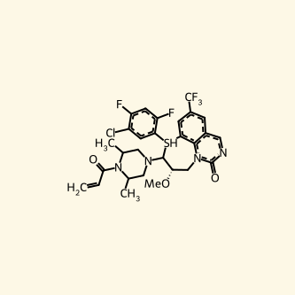 C=CC(=O)N1C(C)CN(C2[C@@H](OC)Cn3c(=O)ncc4cc(C(F)(F)F)cc(c43)[SH]2c2cc(Cl)c(F)cc2F)CC1C